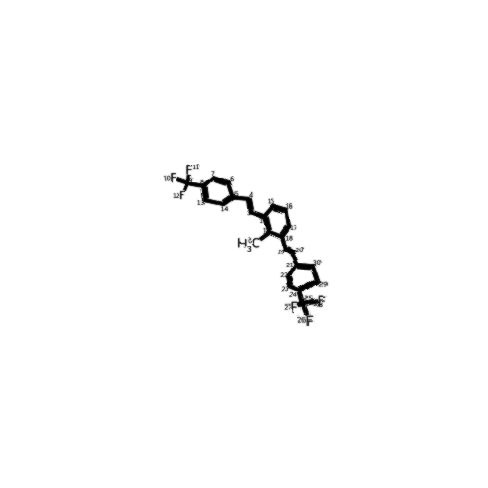 Cc1c(/C=C/c2ccc(C(F)(F)F)cc2)cccc1/C=C/c1ccc(C(F)(F)F)cc1